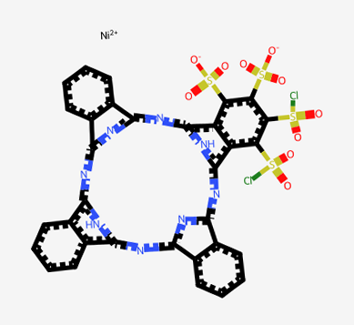 O=S(=O)([O-])c1c(S(=O)(=O)Cl)c(S(=O)(=O)Cl)c2c3nc4nc(nc5[nH]c(nc6nc(nc([nH]3)c2c1S(=O)(=O)[O-])-c1ccccc1-6)c1ccccc51)-c1ccccc1-4.[Ni+2]